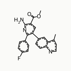 COC(=O)c1cc(-c2ccc3nccc(C)c3c2)c(-c2ccc(F)cc2)nc1N